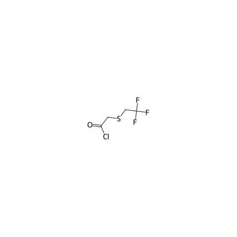 O=C(Cl)CSCC(F)(F)F